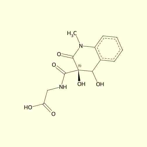 CN1C(=O)[C@@](O)(C(=O)NCC(=O)O)C(O)c2ccccc21